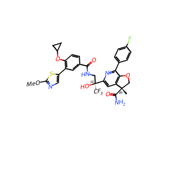 COc1ncc(-c2cc(C(=O)NC[C@](O)(c3cc4c(c(-c5ccc(F)cc5)n3)OC[C@]4(C)C(N)=O)C(F)(F)F)ccc2OC2CC2)s1